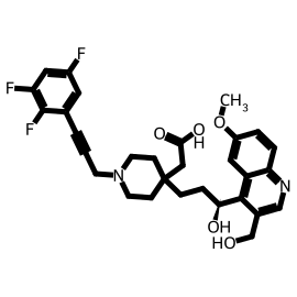 COc1ccc2ncc(CO)c([C@@H](O)CCC3(CC(=O)O)CCN(CC#Cc4cc(F)cc(F)c4F)CC3)c2c1